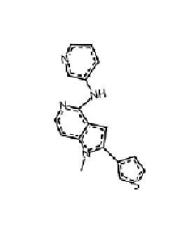 Cn1c(-c2ccsc2)cc2c(Nc3cccnc3)nccc21